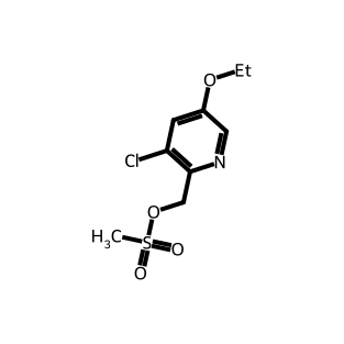 CCOc1cnc(COS(C)(=O)=O)c(Cl)c1